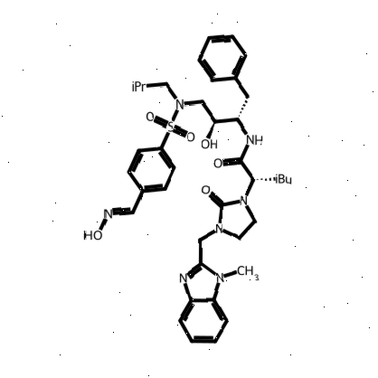 CCC(C)[C@@H](C(=O)N[C@@H](Cc1ccccc1)[C@@H](O)CN(CC(C)C)S(=O)(=O)c1ccc(C=NO)cc1)N1CCN(Cc2nc3ccccc3n2C)C1=O